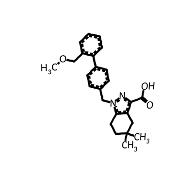 COCc1ccccc1-c1ccc(Cn2nc(C(=O)O)c3c2CCC(C)(C)C3)cc1